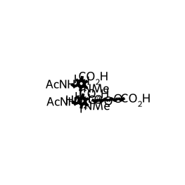 CNc1c(I)c(CNC(C)=O)c(I)c(C(=O)O)c1I.CNc1c(I)c(CNC(C)=O)c(I)c(C(=O)O)c1I.O=C(O)COCCOCCOCC(=O)O